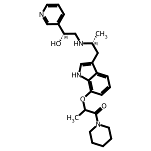 CC(Oc1cccc2c(C[C@@H](C)NC[C@H](O)c3cccnc3)c[nH]c12)C(=O)N1CCCCC1